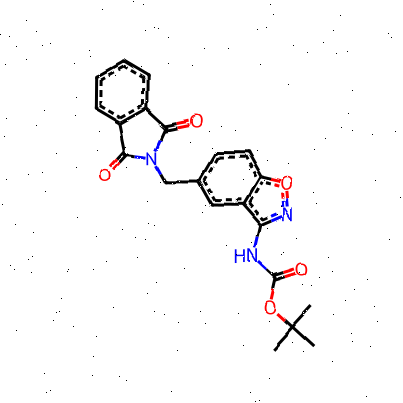 CC(C)(C)OC(=O)Nc1noc2ccc(CN3C(=O)c4ccccc4C3=O)cc12